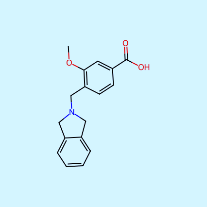 COc1cc(C(=O)O)ccc1CN1Cc2ccccc2C1